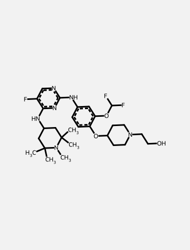 CN1C(C)(C)CC(Nc2nc(Nc3ccc(OC4CCN(CCO)CC4)c(OC(F)F)c3)ncc2F)CC1(C)C